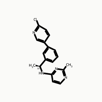 Cc1nccc(N[C@@H](C)c2cccc(-c3ccc(Cl)nc3)c2)n1